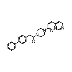 O=C(Cc1ccc(-c2ccccc2)cc1)N1CCN(C2=NN3C=NCC=C3C=C2)CC1